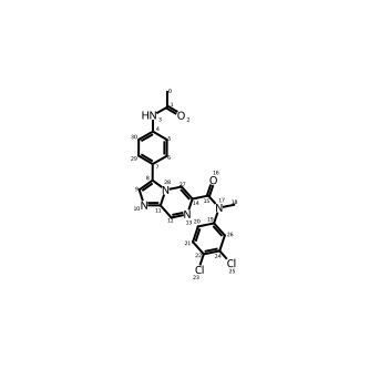 CC(=O)Nc1ccc(-c2cnc3cnc(C(=O)N(C)c4ccc(Cl)c(Cl)c4)cn23)cc1